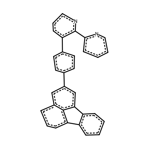 c1ccc(-c2ncccc2-c2ccc(-c3cc4c5c(cccc5c3)-c3ccccc3-4)cc2)nc1